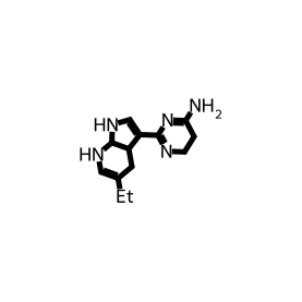 CCC1=CNC2NC=C(C3=NCCC(N)=N3)C2C1